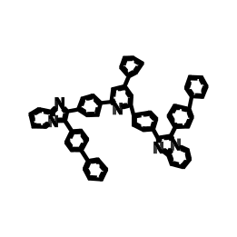 c1ccc(-c2ccc(-c3c(-c4ccc(-c5cc(-c6ccccc6)cc(-c6ccc(-c7nc8ccccn8c7-c7ccc(-c8ccccc8)cc7)cc6)n5)cc4)nc4ccccn34)cc2)cc1